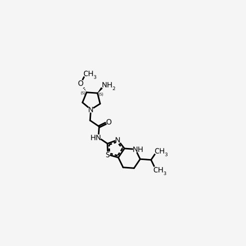 CO[C@H]1CN(CC(=O)Nc2nc3c(s2)CCC(C(C)C)N3)C[C@@H]1N